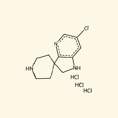 Cl.Cl.Cl.Clc1cnc2c(c1)NCC21CCNCC1